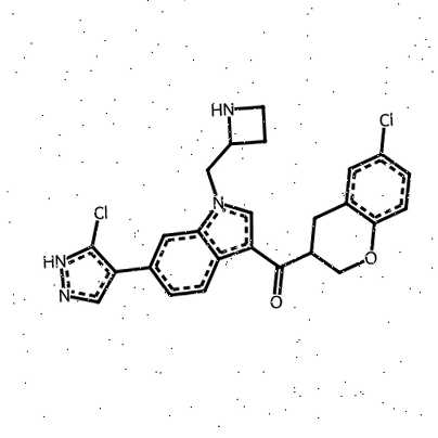 O=C(c1cn(CC2CCN2)c2cc(-c3cn[nH]c3Cl)ccc12)C1COc2ccc(Cl)cc2C1